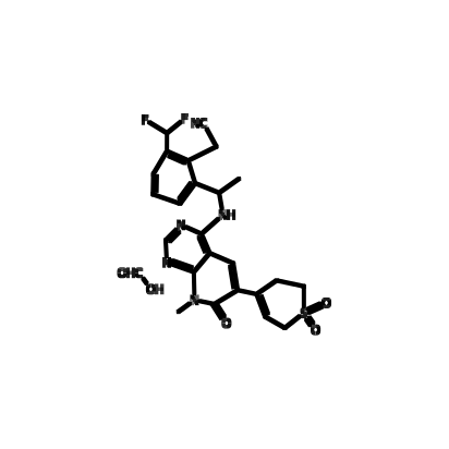 CC(Nc1ncnc2c1cc(C1=CCS(=O)(=O)CC1)c(=O)n2C)c1cccc(C(F)F)c1CC#N.O=CO